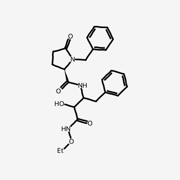 CCONC(=O)C(O)C(Cc1ccccc1)NC(=O)[C@H]1CCC(=O)N1Cc1ccccc1